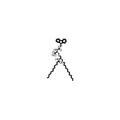 CCCCCCCCCCCCOC[C@H](CSC[C@H](NC(=O)OCC1c2ccccc2-c2ccccc21)C(=O)O)NC(=O)CCCCCCCCCCC